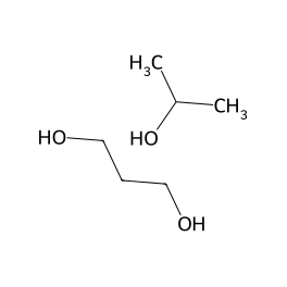 CC(C)O.OCCCO